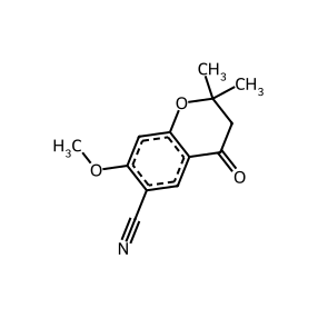 COc1cc2c(cc1C#N)C(=O)CC(C)(C)O2